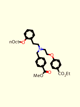 CCCCCCCCOc1ccccc1CCN(CCOc1ccc(C(=O)OCC)cc1)Cc1ccc(C(=O)OC)cc1